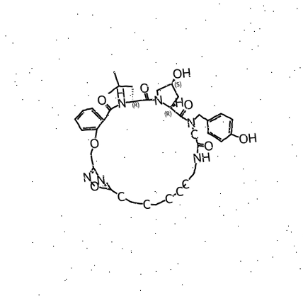 CC(C)C[C@H]1NC(=O)c2ccccc2OCc2noc(n2)CCCCCCCCNC(=O)CN(Cc2ccc(O)cc2)C(=O)[C@H]2C[C@H](O)CN2C1=O